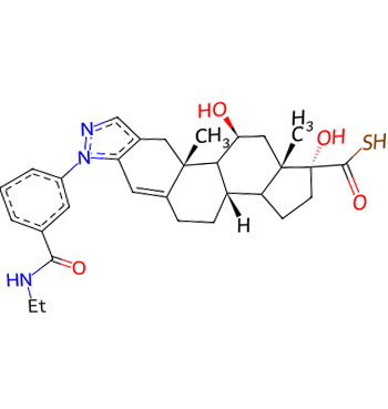 CCNC(=O)c1cccc(-n2ncc3c2C=C2CC[C@@H]4C([C@@H](O)C[C@@]5(C)C4CC[C@]5(O)C(=O)S)[C@@]2(C)C3)c1